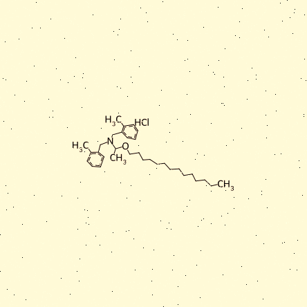 CCCCCCCCCCCCCCOC(C)N(Cc1ccccc1C)Cc1ccccc1C.Cl